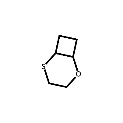 C1CSC2CCC2O1